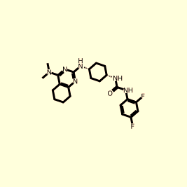 CN(C)c1nc(N[C@H]2CC[C@@H](NC(=O)Nc3ccc(F)cc3F)CC2)nc2c1CCCC2